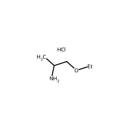 CCOCC(C)N.Cl